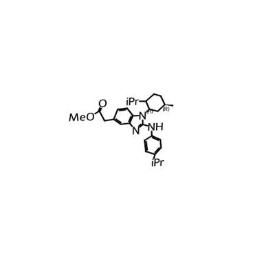 COC(=O)Cc1ccc2c(c1)nc(Nc1ccc(C(C)C)cc1)n2[C@@H]1C[C@H](C)CCC1C(C)C